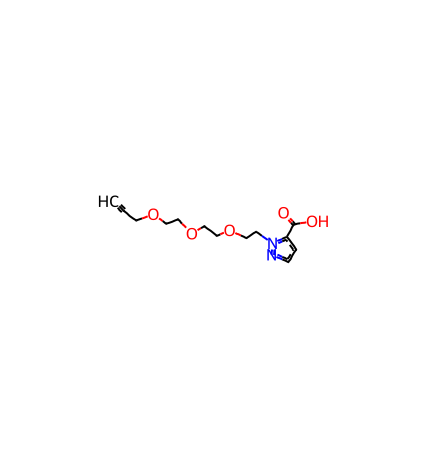 C#CCOCCOCCOCCn1nccc1C(=O)O